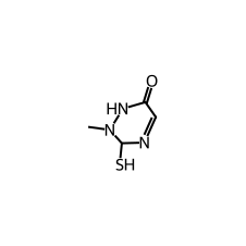 CN1NC(=O)C=NC1S